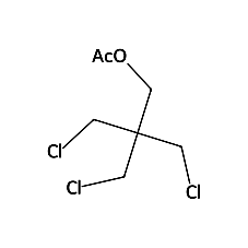 CC(=O)OCC(CCl)(CCl)CCl